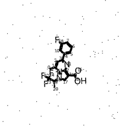 CC1=CC(c2cccc(F)c2)=NC2=C(C(=O)O)CN([C@@H](C)C(F)(F)F)N12